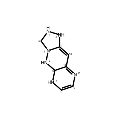 C1=CNC2NN3CNNC3=CC2=N1